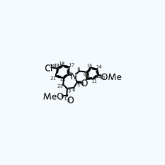 COC(=O)C1CC(=O)N(Cc2ccc(OC)cc2)c2ccc(Cl)cc2C1